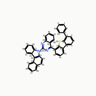 c1ccc(-c2cccc3c2sc2c(-c4nc(-n5c6ccccc6c6c7ccccc7ccc65)nc5ccccc45)cccc23)cc1